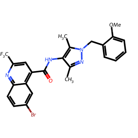 COc1ccccc1Cn1nc(C)c(NC(=O)c2cc(C(F)(F)F)nc3ccc(Br)cc23)c1C